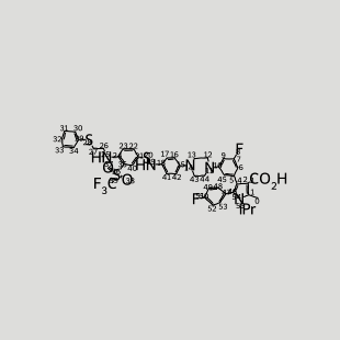 Cc1c(C(=O)O)c(-c2cc(F)cc(N3CCN(c4ccc(NSc5ccc(NCCSc6ccccc6)c(S(=O)(=O)C(F)(F)F)c5)cc4)CC3)c2)c(-c2ccc(F)cc2)n1C(C)C